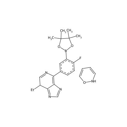 C1=CNOC=C1.CCC1C=NC(c2ccc(F)c(B3OC(C)(C)C(C)(C)O3)c2)=C2N=CN=C21